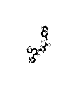 O=C(NCc1ccc2nccn2c1)c1cnc(N(CC2CCCO2)C(=O)Cc2ccon2)s1